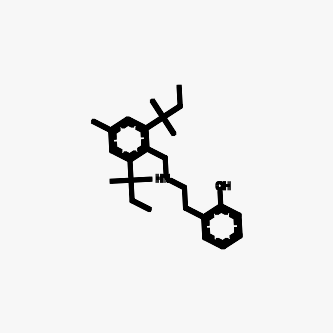 CCC(C)(C)c1cc(C)cc(C(C)(C)CC)c1CNCCc1ccccc1O